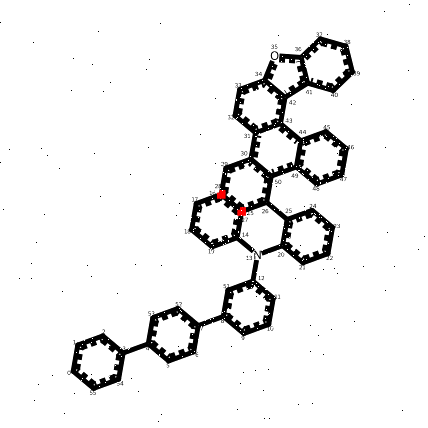 c1ccc(-c2ccc(-c3cccc(N(c4ccccc4)c4ccccc4-c4cccc5c6ccc7oc8ccccc8c7c6c6ccccc6c45)c3)cc2)cc1